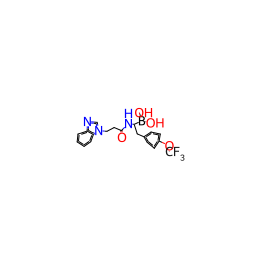 O=C(CCn1cnc2ccccc21)NC(Cc1ccc(OC(F)(F)F)cc1)B(O)O